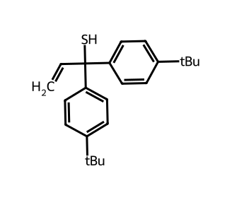 C=CC(S)(c1ccc(C(C)(C)C)cc1)c1ccc(C(C)(C)C)cc1